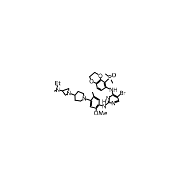 CCN(C)C1CN(C2CCN(c3cc(OC)c(Nc4ncc(Br)c(Nc5ccc6c(c5P(C)(C)=O)OCCO6)n4)cc3C)CC2)C1